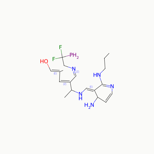 CCCNC1=NC=CC(N)/C1=C\NC(C)C(/C=N\CC(F)(F)P)=C/C(C)=C/O